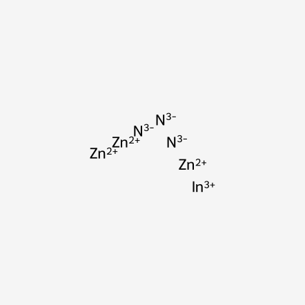 [In+3].[N-3].[N-3].[N-3].[Zn+2].[Zn+2].[Zn+2]